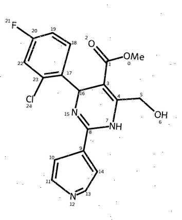 COC(=O)C1=C(CO)NC(c2ccncc2)=NC1c1ccc(F)cc1Cl